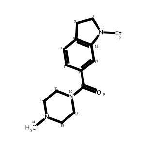 CCN1CCc2ccc(C(=O)N3CCN(C)CC3)cc21